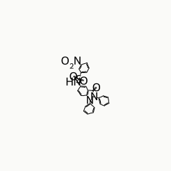 O=c1c2cc(NS(=O)(=O)c3cccc([N+](=O)[O-])c3)ccc2n(-c2ccccc2)n1-c1ccccc1